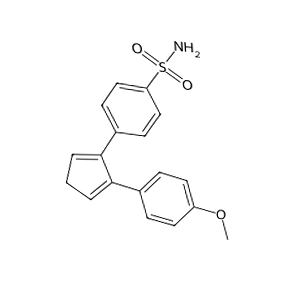 COc1ccc(C2=CCC=C2c2ccc(S(N)(=O)=O)cc2)cc1